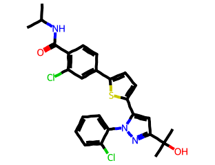 CC(C)NC(=O)c1ccc(-c2ccc(-c3cc(C(C)(C)O)nn3-c3ccccc3Cl)s2)cc1Cl